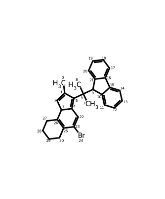 CC1=CC2C(=C1C(C)(C)C1c3ccccc3-c3ccccc31)C=C(Br)C1=C2CCCC1